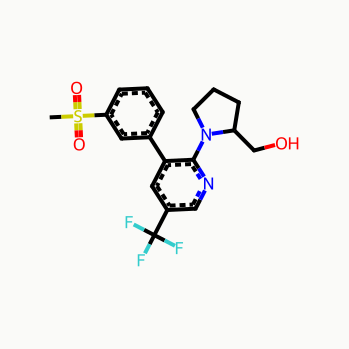 CS(=O)(=O)c1cccc(-c2cc(C(F)(F)F)cnc2N2CCCC2CO)c1